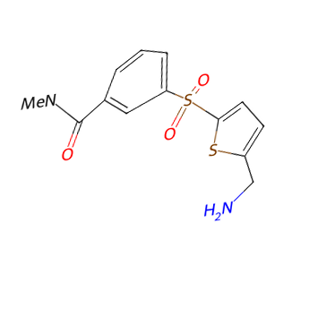 CNC(=O)c1cccc(S(=O)(=O)c2ccc(CN)s2)c1